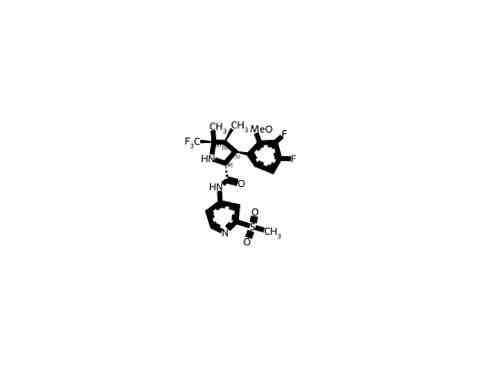 COc1c([C@H]2[C@H](C(=O)Nc3ccnc(S(C)(=O)=O)c3)N[C@@](C)(C(F)(F)F)[C@H]2C)ccc(F)c1F